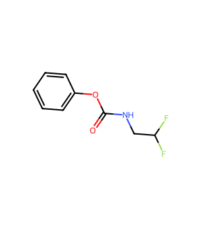 O=C(NCC(F)F)Oc1ccccc1